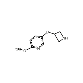 CC(C)(C)Oc1ccc(OC2CNC2)cn1